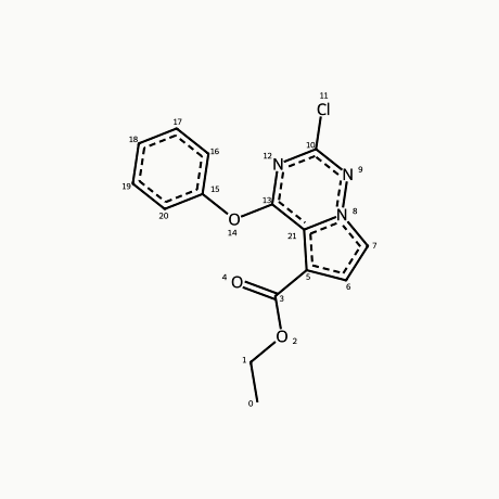 CCOC(=O)c1ccn2nc(Cl)nc(Oc3ccccc3)c12